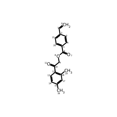 C=Cc1ccc(C(=O)OCC(=O)c2ccc(C)cc2C)cc1